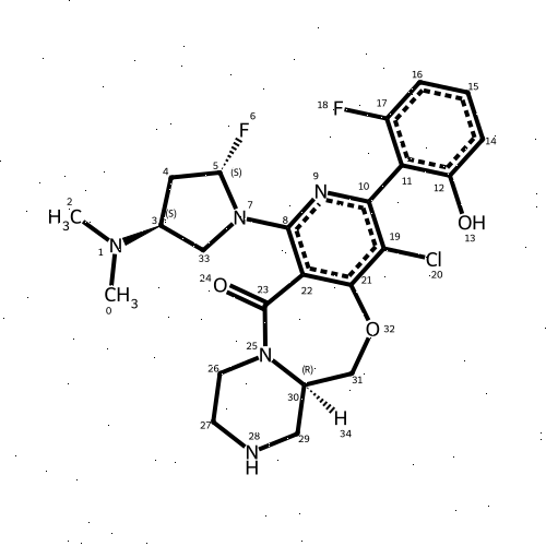 CN(C)[C@H]1C[C@H](F)N(c2nc(-c3c(O)cccc3F)c(Cl)c3c2C(=O)N2CCNC[C@@H]2CO3)C1